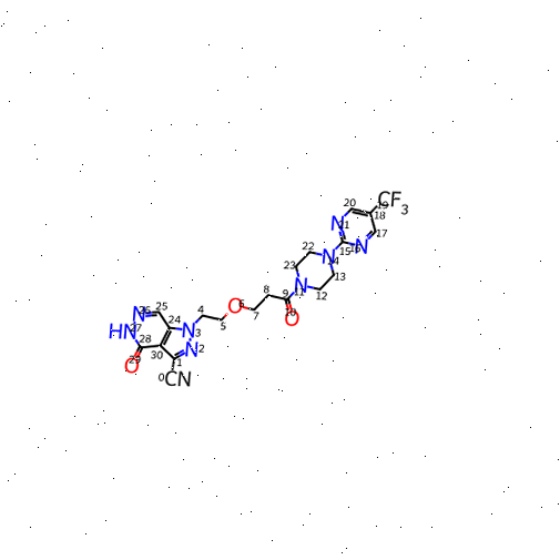 N#Cc1nn(CCOCCC(=O)N2CCN(c3ncc(C(F)(F)F)cn3)CC2)c2cn[nH]c(=O)c12